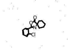 O=C1OC(c2ccccc2Cl)=NC12CCCCC2